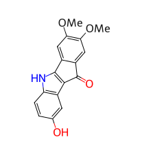 COc1cc2c(cc1OC)-c1[nH]c3ccc(O)cc3c1C2=O